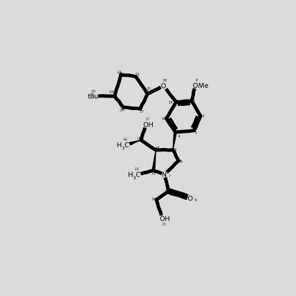 COc1ccc([C@H]2CN(C(=O)CO)C(C)[C@H]2[C@@H](C)O)cc1OC1CCC(C(C)(C)C)CC1